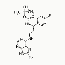 CC(C)(C)OC(=O)NC(CCNc1ncnc2[nH]c(Br)nc12)c1ccc(F)cc1